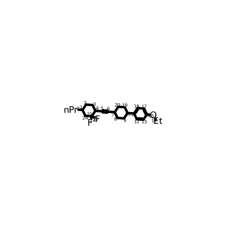 CCCC1CCC(C#CC2CCC(c3ccc(OCC)cc3)CC2)C(F)(F)C1